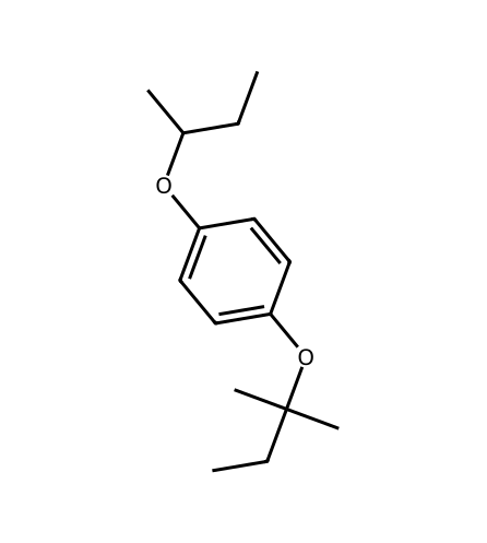 CCC(C)Oc1ccc(OC(C)(C)CC)cc1